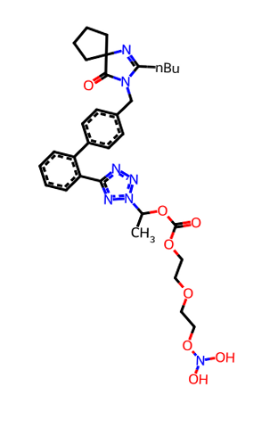 CCCCC1=NC2(CCCC2)C(=O)N1Cc1ccc(-c2ccccc2-c2nnn(C(C)OC(=O)OCCOCCON(O)O)n2)cc1